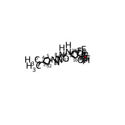 CC(C)c1ccc(-n2cc(NC(=O)Nc3ccc(C(O)(C(F)(F)F)C(F)(F)F)cc3)nn2)cc1